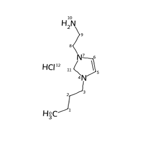 CCCCN1C=CN(CCN)C1.Cl